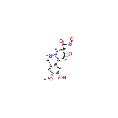 COc1cc2c(cc1O)-c1cc(=O)c(C(=O)N=O)cn1NC2